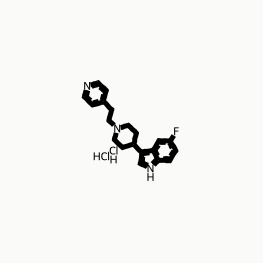 Cl.Cl.Fc1ccc2[nH]cc(C3CCN(CCc4ccncc4)CC3)c2c1